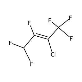 FC(=C(Cl)C(F)(F)F)C(F)F